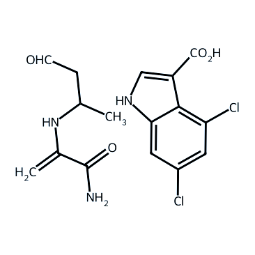 C=C(NC(C)CC=O)C(N)=O.O=C(O)c1c[nH]c2cc(Cl)cc(Cl)c12